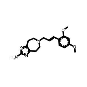 COc1ccc(C=CCN2CCc3nc(N)sc3CC2)c(OC)c1